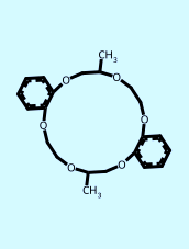 CC1COc2ccccc2OCCOC(C)COc2ccccc2OCCO1